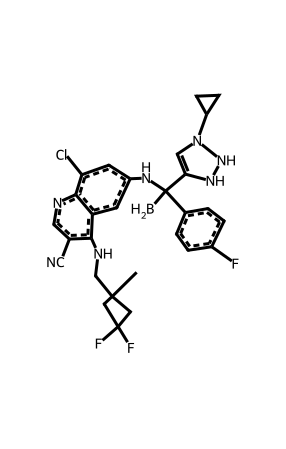 BC(Nc1cc(Cl)c2ncc(C#N)c(NCC3(C)CC(F)(F)C3)c2c1)(C1=CN(C2CC2)NN1)c1ccc(F)cc1